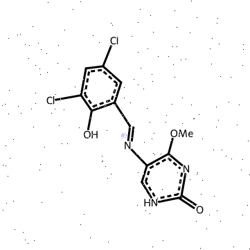 COc1nc(=O)[nH]cc1/N=C/c1cc(Cl)cc(Cl)c1O